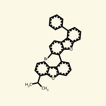 CC(C)c1cccc2c1oc1cccc(-c3c(Br)ccc4c3oc3cccc(-c5ccccc5)c34)c12